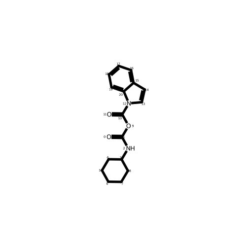 O=C(NC1CCCCC1)OC(=O)n1ccc2ccccc21